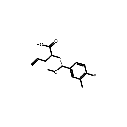 C=CCC(C[C@@H](OC)c1ccc(F)c(C)c1)C(=O)O